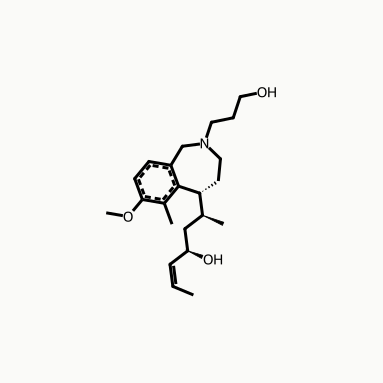 C/C=C\[C@H](O)C[C@H](C)[C@H]1CCN(CCCO)Cc2ccc(OC)c(C)c21